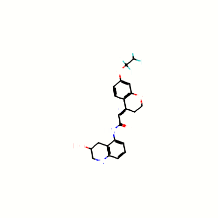 O=C(/C=C1\CCOc2cc(OC(F)(F)C(F)F)ccc21)Nc1cccc2c1CC(O)CN2